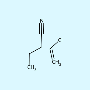 C=CCl.CCCC#N